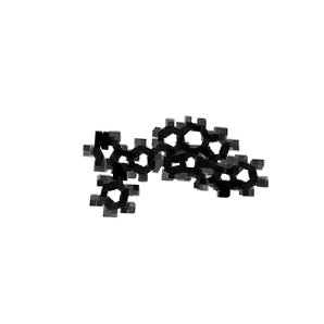 C1=Cc2ccc(-c3ccc4c(c3)c3cnccc3n4-c3ccccc3)cc2C2(c3ccccc31)c1ccccc1-c1cc3sc4ccccc4c3cc12